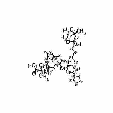 CC(C)(C)OC(=O)NCCCC[C@H](NC(=O)C1CCCC1)C(=O)N[C@@H](Cc1cccs1)C(=O)CCC(=S)NC(C)(C)C(=O)O